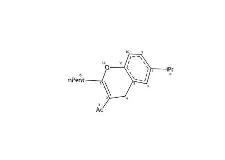 CCCCCC1=C(C(C)=O)Cc2cc(C(C)C)ccc2O1